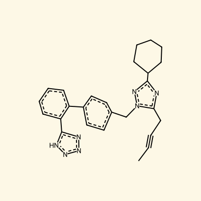 CC#CCc1nc(C2CCCCC2)nn1Cc1ccc(-c2ccccc2-c2nnn[nH]2)cc1